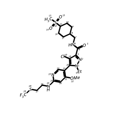 CCn1nc(C(=O)NCC2CCC(S(C)(=O)=O)CC2)c(Cl)c1-c1cnc(NCCSC(F)(F)F)cc1OC